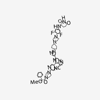 COC(C(=O)N1CCN(c2ccc(-c3nc(-c4cnn(C5CCC(N6CCN(c7c(F)cc(NC8CCC(=O)NC8=O)cc7F)CC6)CC5)c4)cn4ncc(C#N)c34)cn2)CC1)c1ccccc1